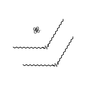 CCCCCCCCCCCCCCCCC=C[N+](C)(C)C=CCCCCCCCCCCCCCCCC.CCCCCCCCCCCCCCCCC=C[N+](C)(C)C=CCCCCCCCCCCCCCCCC.O=S(=O)([O-])[O-]